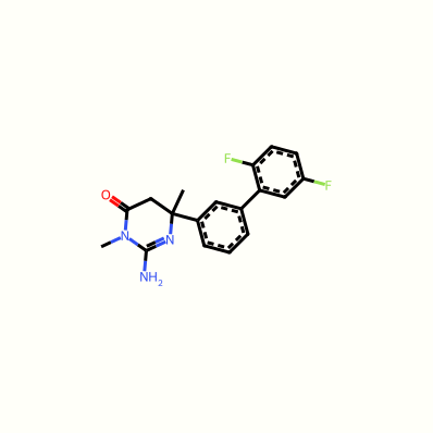 CN1C(=O)CC(C)(c2cccc(-c3cc(F)ccc3F)c2)N=C1N